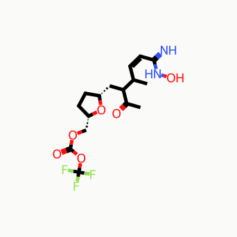 CC(=O)C(C[C@H]1CC[C@@H](COC(=O)OC(F)(F)F)O1)C(C)/C=C\C(=N)NO